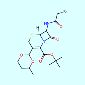 CC1CCOC(C2=C(C(=O)OC(C)(C)C)N3C(=O)C(NC(=O)CBr)[C@@H]3SC2)O1